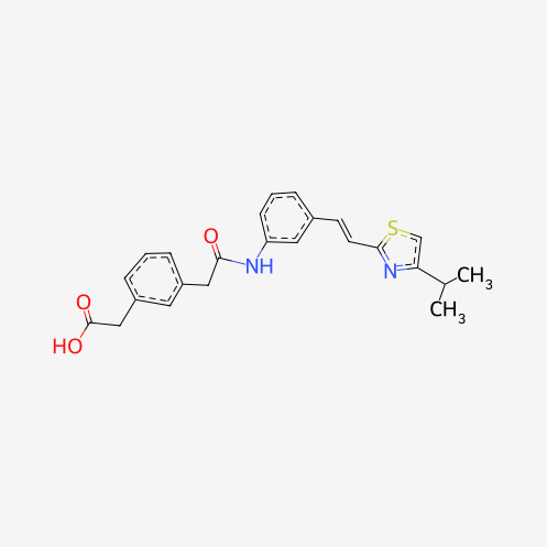 CC(C)c1csc(C=Cc2cccc(NC(=O)Cc3cccc(CC(=O)O)c3)c2)n1